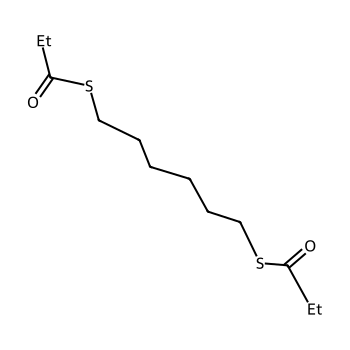 CCC(=O)SCCCCCCSC(=O)CC